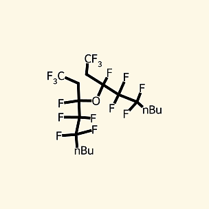 CCCCC(F)(F)C(F)(F)C(F)(CC(F)(F)F)OC(F)(CC(F)(F)F)C(F)(F)C(F)(F)CCCC